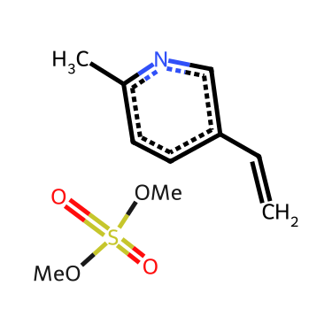 C=Cc1ccc(C)nc1.COS(=O)(=O)OC